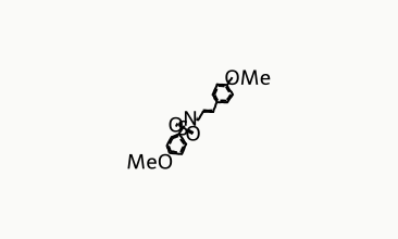 COc1ccc(/C=C/C=NS(=O)(=O)c2ccc(OC)cc2)cc1